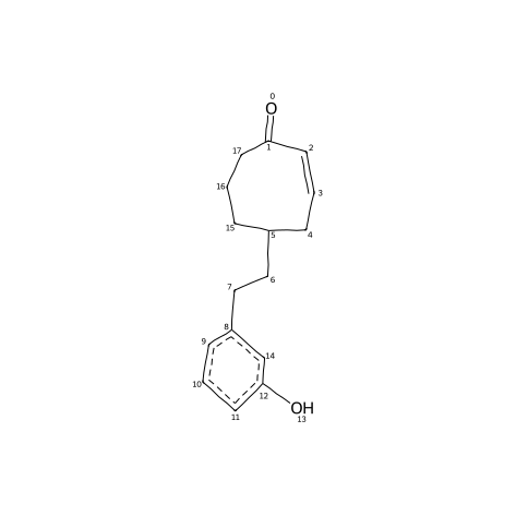 O=C1C=CCC(CCc2cccc(O)c2)CCC1